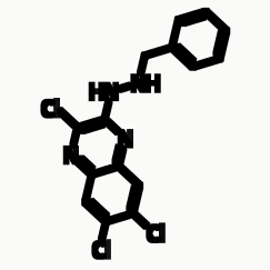 Clc1cc2nc(Cl)c(NNCc3ccccc3)nc2cc1Cl